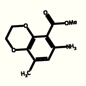 COC(=O)c1c(N)cc(C)c2c1OCCO2